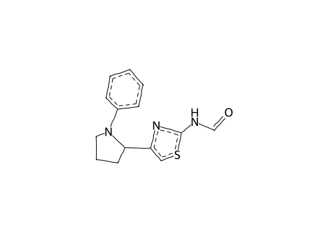 O=CNc1nc(C2CCCN2c2ccccc2)cs1